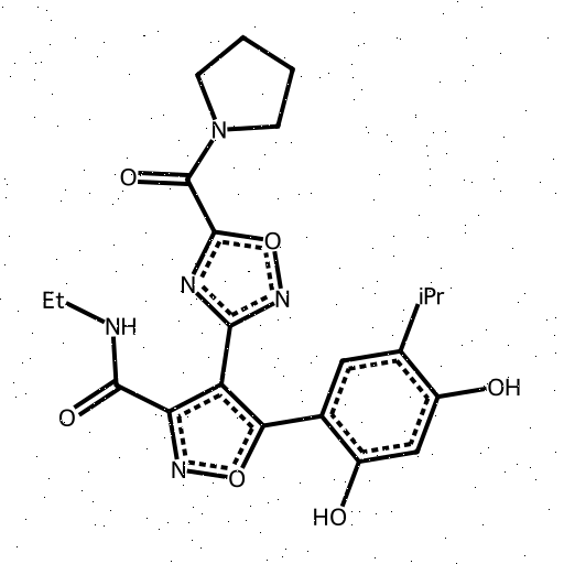 CCNC(=O)c1noc(-c2cc(C(C)C)c(O)cc2O)c1-c1noc(C(=O)N2CCCC2)n1